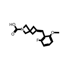 COc1cccc(F)c1C=C1CC2(C1)CN(C(=O)O)C2